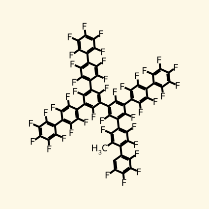 Cc1c(F)c(-c2c(F)c(-c3c(F)c(F)c(-c4c(F)c(F)c(F)c(F)c4F)c(F)c3F)c(F)c(-c3c(F)c(-c4c(F)c(F)c(-c5c(F)c(F)c(F)c(F)c5F)c(F)c4F)c(F)c(-c4c(F)c(F)c(-c5c(F)c(F)c(F)c(F)c5F)c(F)c4F)c3F)c2F)c(F)c(F)c1-c1cc(F)c(F)c(F)c1F